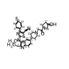 CCc1nc2ccc(C3CCN(CC(=O)N4CC[C@@H](O)C4)CC3)cn2c1N(C)c1nc(-c2ccc(F)cc2)c(C#N)s1